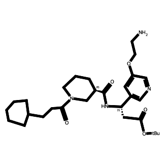 CC(C)(C)OC(=O)C[C@H](NC(=O)[C@@H]1CCCN(C(=O)CCC2CCCCC2)C1)c1cncc(OCCN)c1